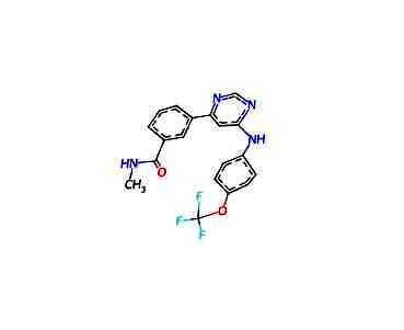 CNC(=O)c1cccc(-c2cc(Nc3ccc(OC(F)(F)F)cc3)ncn2)c1